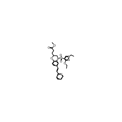 CCOc1nn(CC)cc1S(=O)(=O)N1CC(CCC(=O)OC)Oc2ccc(C=Cc3ccccn3)cc21